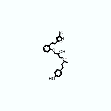 CCc1cc(C=Cc2ccccc2OCC(O)CNC(C)CCc2ccc(O)cc2)on1